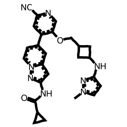 Cn1ccc(NC2CC(COc3cnc(C#N)cc3-c3ccn4nc(NC(=O)C5CC5)cc4c3)C2)n1